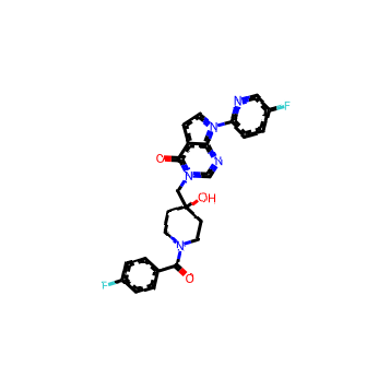 O=C(c1ccc(F)cc1)N1CCC(O)(Cn2cnc3c(ccn3-c3ccc(F)cn3)c2=O)CC1